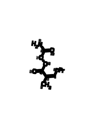 CCCC=C(C)C(=O)OOC(N)=O